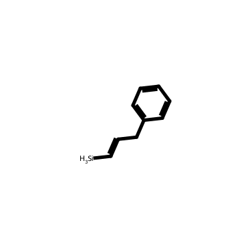 [SiH3]C=CCc1ccccc1